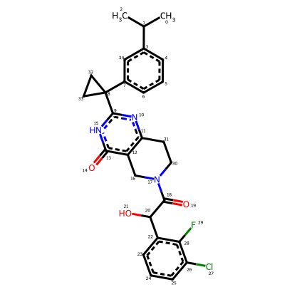 CC(C)c1cccc(C2(c3nc4c(c(=O)[nH]3)CN(C(=O)C(O)c3cccc(Cl)c3F)CC4)CC2)c1